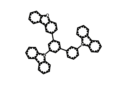 c1cc(-c2cc(-c3ccc4oc5ccccc5c4c3)cc(-n3c4ccccc4c4ccccc43)c2)cc(-n2c3ccccc3c3ccccc32)c1